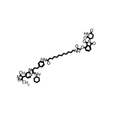 Cc1noc(C)c1-c1ccn2c(NC3CCCCC3)c(CCc3ccc(NC(=O)CCCCCCCCCCCNC(=O)COc4cccc5c4C(=O)N(C4CCC(=O)NC4=O)C5=O)cc3)nc2c1